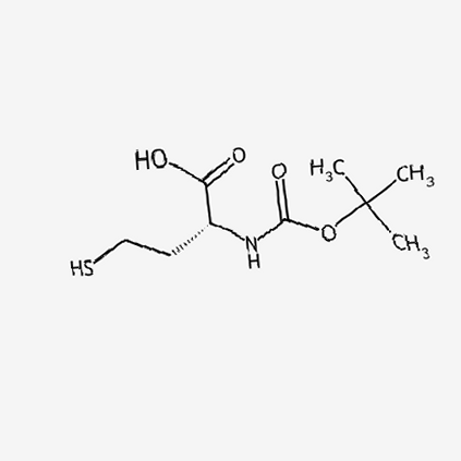 CC(C)(C)OC(=O)N[C@H](CCS)C(=O)O